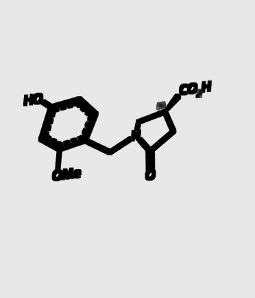 COc1cc(O)ccc1CN1C[C@@H](C(=O)O)CC1=O